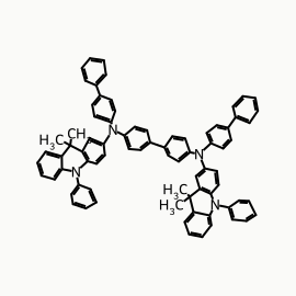 CC1(C)c2ccccc2N(c2ccccc2)c2ccc(N(c3ccc(-c4ccccc4)cc3)c3ccc(-c4ccc(N(c5ccc(-c6ccccc6)cc5)c5ccc6c(c5)C(C)(C)c5ccccc5N6c5ccccc5)cc4)cc3)cc21